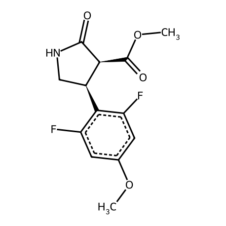 COC(=O)[C@@H]1C(=O)NC[C@@H]1c1c(F)cc(OC)cc1F